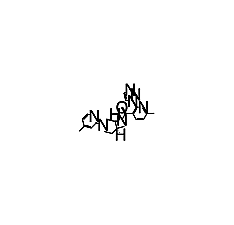 Cc1ccnc(N2CC[C@@H]3CN(C(=O)c4ccc(C)nc4-n4ccnn4)[C@@H]3C2)c1